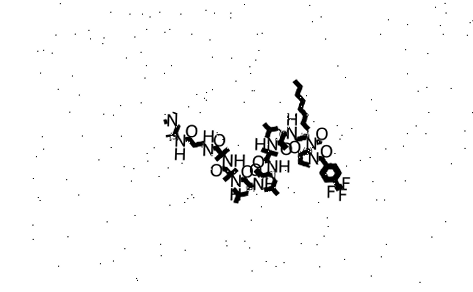 CCCCCCCC[C@@H](C(=O)N[C@@H](CC(C)C)C(=O)NC(C)(C)C(=O)N[C@@H](CC(C)C)C(=O)N[C@@H](CC(C)C)C(=O)NC(C)(C)C(=O)NC(C)(C)C(=O)NCCC(=O)N[C@@H](C)CN(C)C)N(C=O)[C@@H]1CCCN1C(=O)c1ccc(C(F)(F)F)cc1